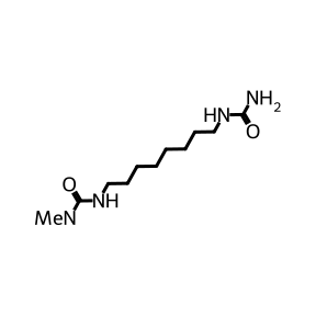 CNC(=O)NCCCCCCCCNC(N)=O